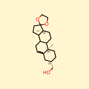 C[C@]12CC[C@H](CO)CC1=CCC1C2CC[C@@]2(C)C1CCC21OCCO1